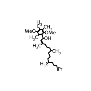 COc1c(C)c(C)c(OC)c(C(O)C=C(C)CCCC(C)CCCC(C)CCCC(C)C)c1C